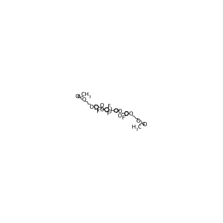 CCC1(COCCCCOc2ccc(C(=O)Oc3ccc(C(CF)(CF)c4ccc(OC(=O)c5ccc(OCCCCOCC6(CC)COC6)cc5F)cc4)cc3)c(F)c2)COC1